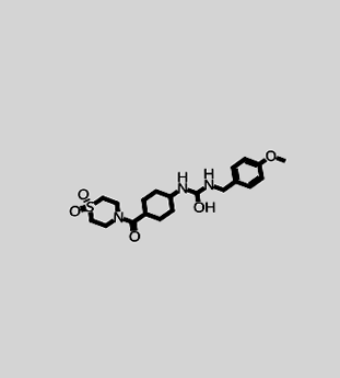 COc1ccc(CNC(O)NC2CCC(C(=O)N3CCS(=O)(=O)CC3)CC2)cc1